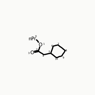 [CH2]CCOC(=O)CC1CCCCC1